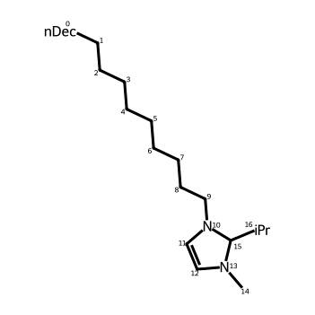 CCCCCCCCCCCCCCCCCCCN1C=CN(C)C1C(C)C